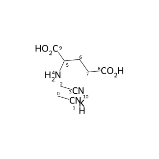 CC#N.CC#N.NC(CCC(=O)O)C(=O)O.[KH]